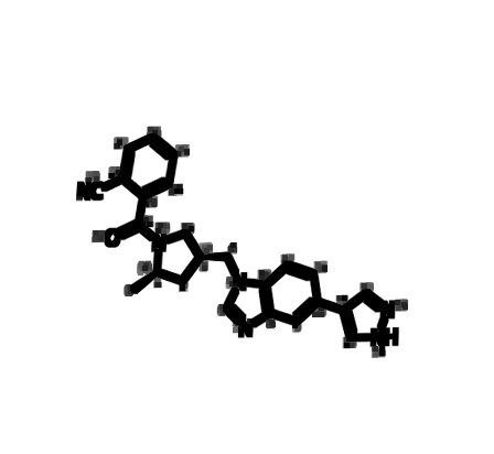 C[C@@H]1C[C@H](Cn2cnc3cc(-c4cn[nH]c4)ccc32)CN1C(=O)c1ccccc1C#N